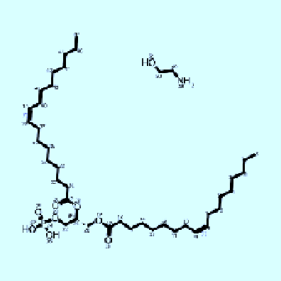 CCCCCCCC/C=C\CCCCCCCC(=O)OC[C@H](COP(=O)(O)O)OC(=O)CCCCCCC/C=C\CCCCCCCC.NCCO